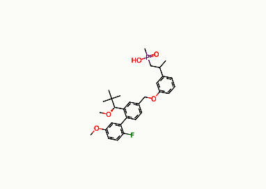 COc1ccc(F)c(-c2ccc(COc3cccc(C(C)CP(C)(=O)O)c3)cc2[C@@H](OC)C(C)(C)C)c1